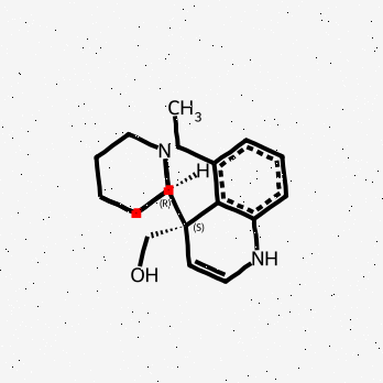 CCc1cccc2c1[C@](CO)([C@H]1CC3CCN1CC3)C=CN2